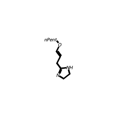 CCCCCOC=CCC1=NCCN1